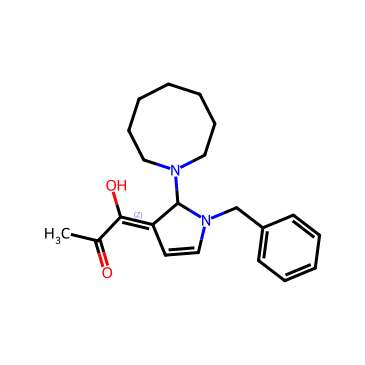 CC(=O)/C(O)=C1\C=CN(Cc2ccccc2)C1N1CCCCCCC1